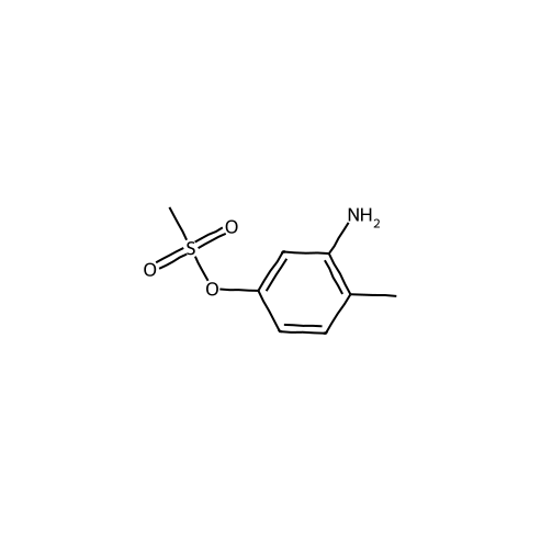 Cc1ccc(OS(C)(=O)=O)cc1N